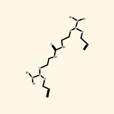 C=CCOP(OCCNC(=O)NCCOP(OCC=C)N(C(C)C)C(C)C)N(C(C)C)C(C)C